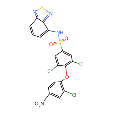 O=[N+]([O-])c1ccc(Oc2c(Cl)cc(S(=O)(=O)Nc3cccc4nsnc34)cc2Cl)c(Cl)c1